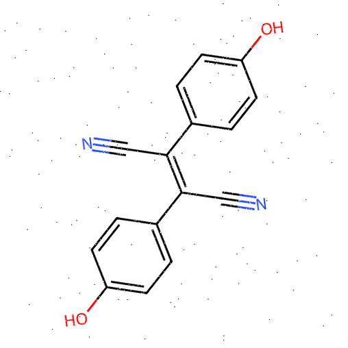 N#C/C(=C(/C#N)c1ccc(O)cc1)c1ccc(O)cc1